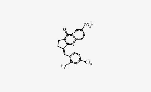 Cc1ccc(/C=C2/CCc3c2nc2ccc(C(=O)O)cn2c3=O)c(C)c1